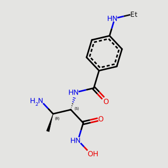 CCNc1ccc(C(=O)N[C@H](C(=O)NO)[C@@H](C)N)cc1